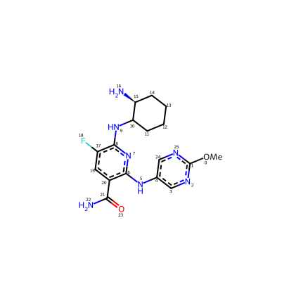 COc1ncc(Nc2nc(NC3CCCC[C@@H]3N)c(F)cc2C(N)=O)cn1